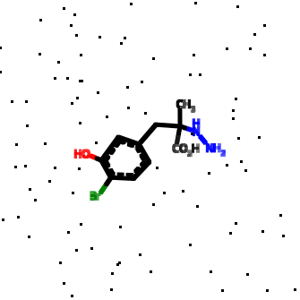 CC(Cc1ccc(Br)c(O)c1)(NN)C(=O)O